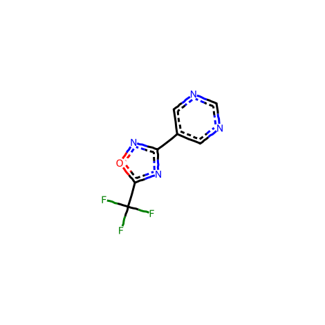 FC(F)(F)c1nc(-c2cncnc2)no1